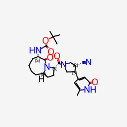 Cc1cc([C@H]2CN(C(=O)[C@@H]3CC[C@@H]4CCCC[C@H](NC(=O)OC(C)(C)C)C(=O)N43)C[C@@H]2C#N)cc(=O)[nH]1